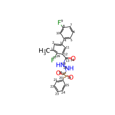 Cc1cc(-c2cccc(F)c2)cc(C(=O)NNS(=O)(=O)c2ccccc2)c1F